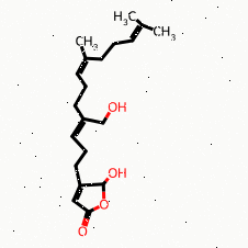 CC(C)=CCCC(C)=CCCC(=CCCC1=CC(=O)OC1O)CO